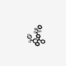 O=C(N[S+]([O-])c1ccccc1)c1ccc2c(C3CCCCC3)c3n(c2c1)CC(C(=O)N1CCOCC1)Cc1ccccc1-3